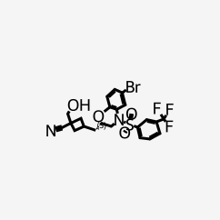 N#CC1(CO)CC(C[C@H]2CN(S(=O)(=O)c3cccc(C(F)(F)F)c3)c3cc(Br)ccc3O2)C1